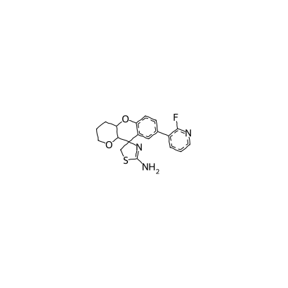 NC1=NC2(CS1)c1cc(-c3cccnc3F)ccc1OC1CCCOC12